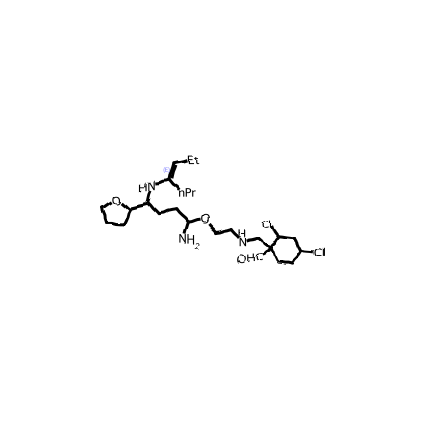 CC/C=C(\CCC)NC(CCC(N)OCCNCC1(C=O)CCC(Cl)CC1Cl)C1CCCO1